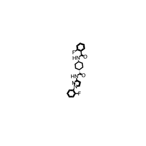 O=C(N[C@H]1CC[C@@H](C(=O)Nc2ccn(-c3ccccc3F)n2)CC1)c1ccccc1F